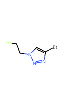 CCc1cn(CCF)nn1